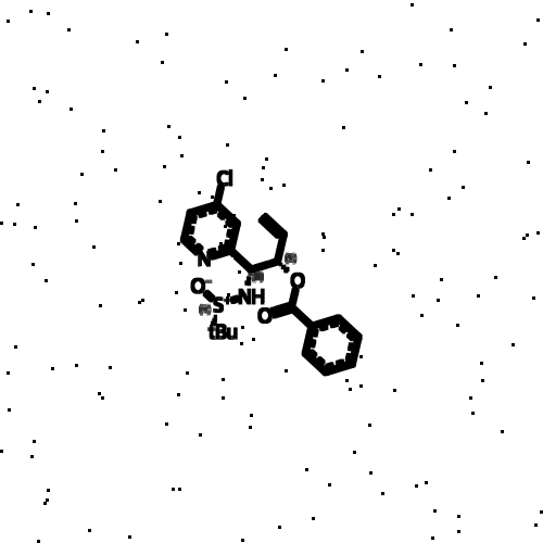 C=C[C@H](OC(=O)c1ccccc1)[C@H](N[S@@+]([O-])C(C)(C)C)c1cc(Cl)ccn1